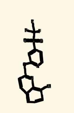 O=S(=O)(c1ccnc(Oc2ccc3cccc(Cl)c3n2)c1)C(F)(F)F